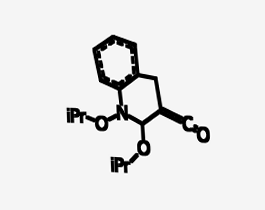 CC(C)OC1C(=C=O)Cc2ccccc2N1OC(C)C